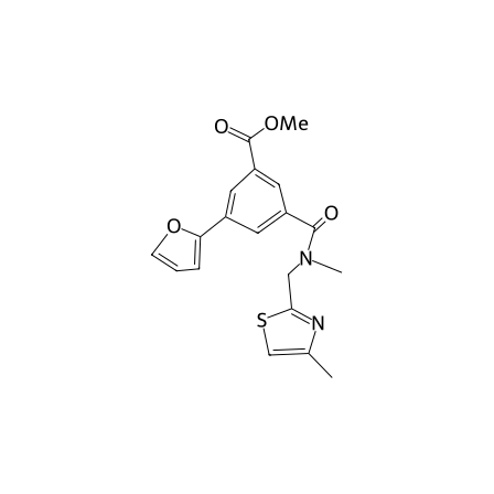 COC(=O)c1cc(C(=O)N(C)Cc2nc(C)cs2)cc(-c2ccco2)c1